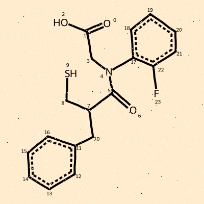 O=C(O)CN(C(=O)C(CS)Cc1ccccc1)c1ccccc1F